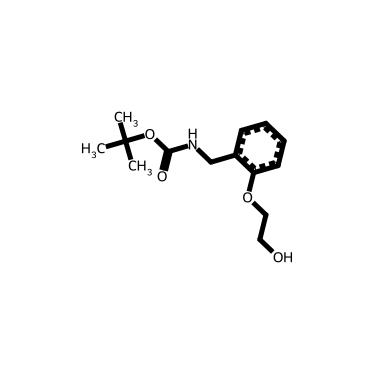 CC(C)(C)OC(=O)NCc1ccccc1OCCO